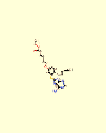 C#CCCCn1c(Sc2cccc(OCCCCCC(=O)OCC)c2)nc2c(N)ncnc21